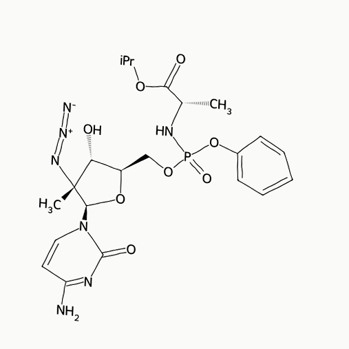 CC(C)OC(=O)[C@H](C)NP(=O)(OC[C@H]1O[C@@H](n2ccc(N)nc2=O)[C@](C)(N=[N+]=[N-])[C@@H]1O)Oc1ccccc1